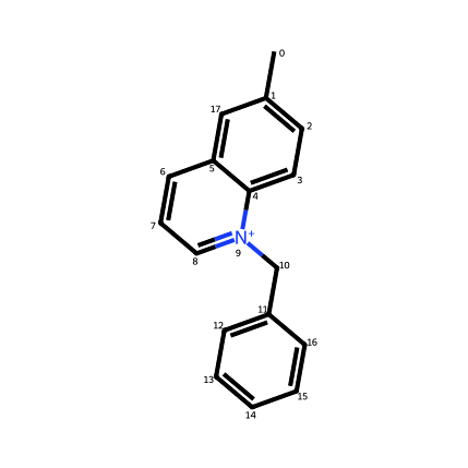 Cc1ccc2c(ccc[n+]2Cc2ccccc2)c1